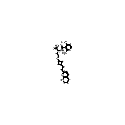 Cc1ccnc(C)c1C(=O)N[C@@H](CCOC1CC(CCc2ccc3c(n2)NCCC3)C1)C(=O)O